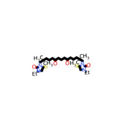 CCN1CC(=S)N(CC(C)(C)CCCC(=O)CCCC(=O)CCCC(C)(C)CN2C(=O)N(CC)CC2=S)C1=O